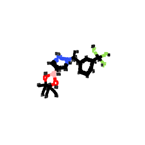 C[C@@H](c1cccc(C(F)(F)F)c1)n1cc(B2OC(C)(C)C(C)(C)O2)cn1